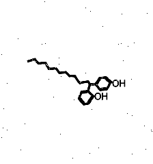 CCCCCCCCCCCCC(c1ccc(O)cc1)c1ccccc1O